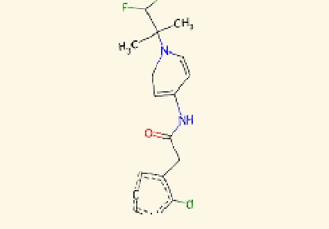 CC(C)(C(F)F)N1C=CC(NC(=O)Cc2ccccc2Cl)=CC1